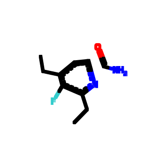 CCc1ccnc(CC)c1F.NC=O